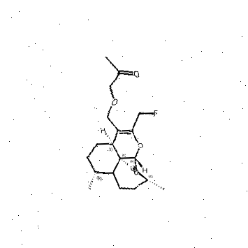 CC(=O)COCC1=C(CF)O[C@@H]2O[C@]3(C)CCC4[C@H](C)CC[C@@H]1[C@]42OO3